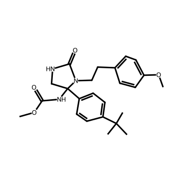 COC(=O)NC1(c2ccc(C(C)(C)C)cc2)CNC(=O)N1CCc1ccc(OC)cc1